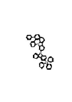 c1ccc(-c2ccccc2-c2ccccc2-n2c3ccccc3c3ccc(-n4c5ccccc5c5cc([Si](c6ccccc6)(c6ccccc6)c6ccccc6)ccc54)cc32)cc1